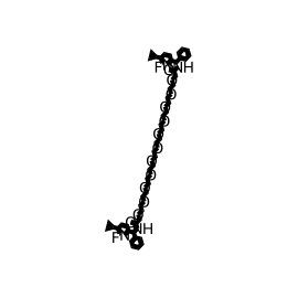 O=C(COCCOCCOCCOCCOCCOCCOCCOCCOCCOCCOCC(=O)N[C@@H](c1ccccc1)c1ccc(C2CC2)c(F)n1)NC(c1ccccc1)c1ccc(C2CC2)c(F)n1